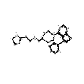 c1ccc(-c2csc3ncnc(N4CCC(CNCCC5CCCO5)CC4)c23)cc1